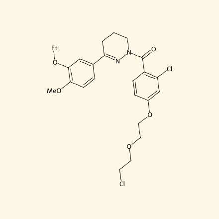 CCOc1cc(C2=NN(C(=O)c3ccc(OCCOCCCl)cc3Cl)CCC2)ccc1OC